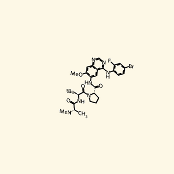 CN[C@@H](C)C(=O)N[C@H](C(=O)N1CCC[C@H]1C(=O)Nc1cc2c(Nc3ccc(Br)cc3F)ncnc2cc1OC)C(C)(C)C